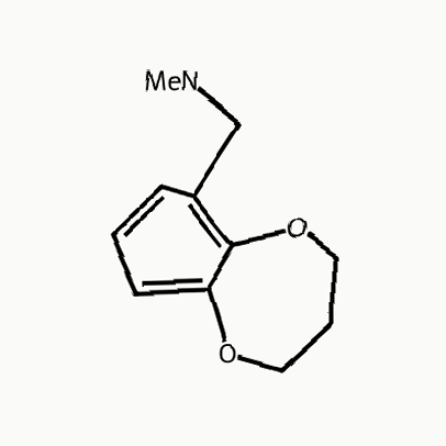 CNCc1cccc2c1OCCCO2